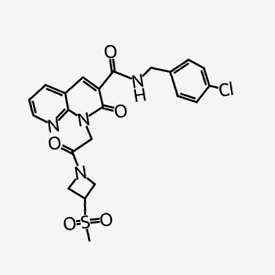 CS(=O)(=O)C1CN(C(=O)Cn2c(=O)c(C(=O)NCc3ccc(Cl)cc3)cc3cccnc32)C1